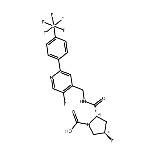 O=C(NCc1cc(-c2ccc(S(F)(F)(F)(F)F)cc2)ncc1F)[C@@H]1C[C@@H](F)CN1C(=O)O